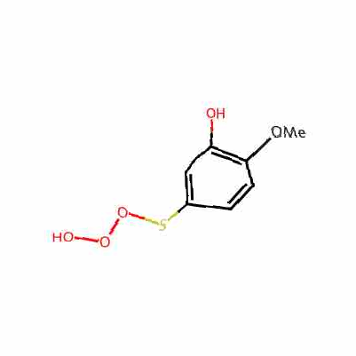 COc1ccc(SOOO)cc1O